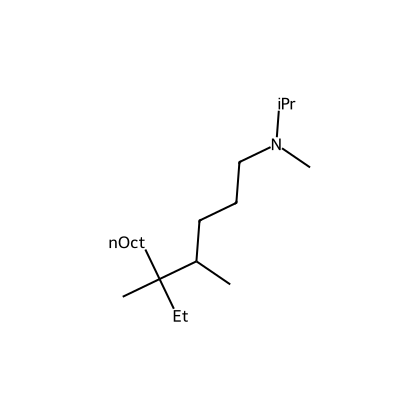 CCCCCCCCC(C)(CC)C(C)CCCN(C)C(C)C